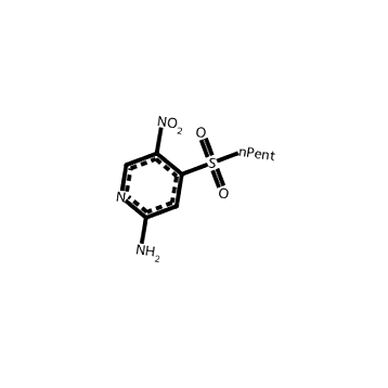 CCCCCS(=O)(=O)c1cc(N)ncc1[N+](=O)[O-]